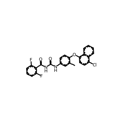 Cc1cc(NC(=O)NC(=O)c2c(F)cccc2F)ccc1Oc1ccc(Cl)c2ccccc12